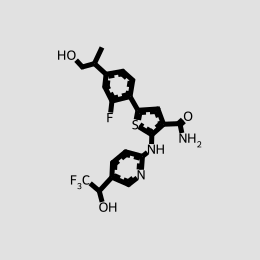 CC(CO)c1ccc(-c2cc(C(N)=O)c(Nc3ccc(C(O)C(F)(F)F)cn3)s2)c(F)c1